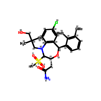 CCCS(=O)(=O)C1[C@@H](CC(N)=O)O[C@H](c2cccc(OC)c2OC)c2cc(Cl)ccc2N1CC(C)(C)CO